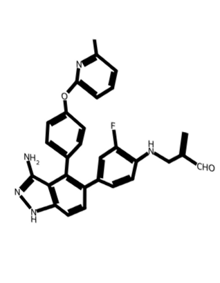 C=C(C=O)CNc1ccc(-c2ccc3[nH]nc(N)c3c2-c2ccc(Oc3cccc(C)n3)cc2)cc1F